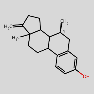 C=C1CCC2C3C(CCC12C)c1ccc(O)cc1C[C@@H]3C